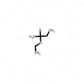 CCOC(C)([S])CC